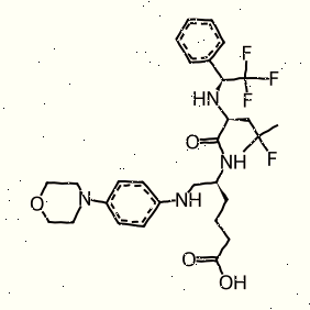 CC(C)(F)C[C@H](N[C@@H](c1ccccc1)C(F)(F)F)C(=O)N[C@@H](CCCC(=O)O)CNc1ccc(N2CCOCC2)cc1